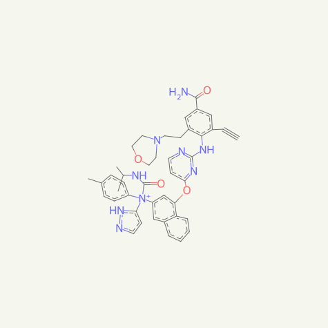 C#Cc1cc(C(N)=O)cc(CCN2CCOCC2)c1Nc1nccc(Oc2cc([N+](C(=O)NC(C)C)(c3ccc(C)cc3)c3ccn[nH]3)cc3ccccc23)n1